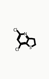 Clc1cc(Cl)c2c(n1)CCS2